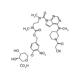 CN(CCN(C)C(=O)n1ccc2c(N(C)[C@@H]3CCCN(C(=O)CC#N)C3)ncnc21)C(=O)OCc1ccc(O[C@H]2C[C@@H](O)[C@H](O)[C@@H](C(=O)O)O2)c([N+](=O)[O-])c1